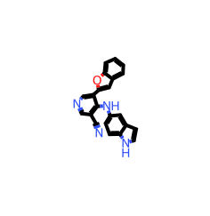 N#Cc1cncc(-c2cc3ccccc3o2)c1Nc1ccc2[nH]ccc2c1